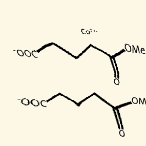 COC(=O)CCCC(=O)[O-].COC(=O)CCCC(=O)[O-].[Co+2]